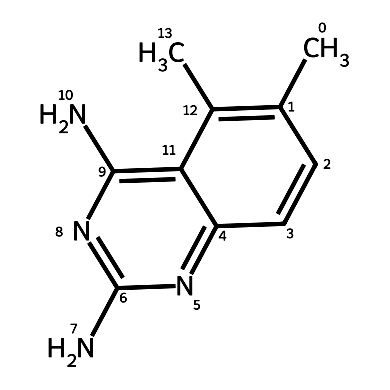 Cc1ccc2nc(N)nc(N)c2c1C